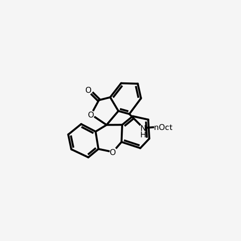 CCCCCCCCNc1cccc2c1C1(OC2=O)c2ccccc2Oc2ccccc21